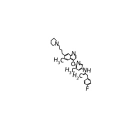 C=C(Cc1ccc(F)cc1)Nc1cnc(Oc2ccnc3cc(CCCCN4CCCCC4)c(C)cc23)c(C)c1